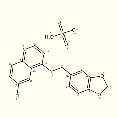 CS(=O)(=O)O.Clc1ccc2ncnc(NCc3ccc4c(c3)OCO4)c2c1